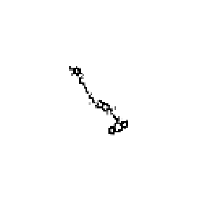 O=C(CCOCCOCCC(=O)N1CCC2(CCC(C(=O)NCCC(=O)N3Cc4ccccc4/C=C\c4ccccc43)CC2)CC1)Oc1c(F)c(F)c(F)c(F)c1F